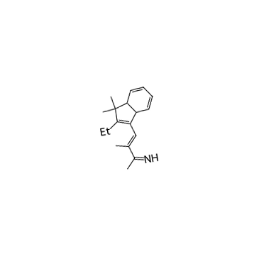 CCC1=C(/C=C(\C)C(C)=N)C2C=CC=CC2C1(C)C